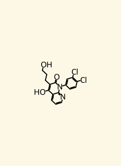 O=c1c(CCCO)c(O)c2cccnc2n1-c1ccc(Cl)c(Cl)c1